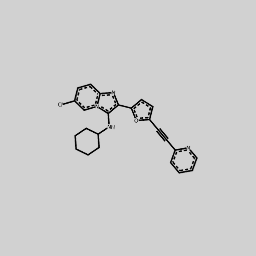 Clc1ccc2nc(-c3ccc(C#Cc4ccccn4)o3)c(NC3CCCCC3)n2c1